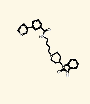 O=C(NCCCCN1CCC(n2c(=O)[nH]c3ccccc32)CC1)c1cccc(-c2cccnc2)c1